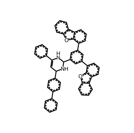 C1=C(c2ccccc2)NC(c2cc(-c3cccc4c3oc3ccccc34)cc(-c3cccc4c3oc3ccccc34)c2)NC1c1ccc(-c2ccccc2)cc1